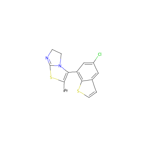 CC(C)C1=C(c2cc(Cl)cc3ccsc23)N2CCN=C2S1